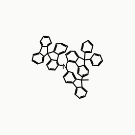 CC1(C)c2ccccc2-c2ccc(N(c3cccc4c3-c3ccccc3C4(c3ccccc3)c3ccccc3)c3cccc4c3-c3ccccc3C43c4ccccc4-c4ccccc43)cc21